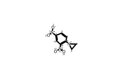 O=[N+]([O-])c1ccc(N2CC2)c([N+](=O)[O-])c1